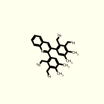 [2H]Cc1c(-c2cc3ccccc3nc2-c2cc(C)c(C)c(C[2H])c2C[2H])cc(C)c(C)c1C[2H]